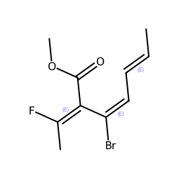 C/C=C/C=C(Br)\C(C(=O)OC)=C(/C)F